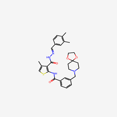 Cc1ccc(/C=N/NC(=O)c2c(C)csc2NC(=O)c2cccc(CN3CCC4(CC3)OCCO4)c2)cc1C